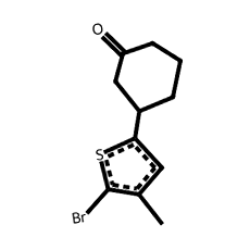 Cc1cc(C2CCCC(=O)C2)sc1Br